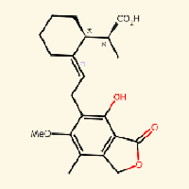 COc1c(C)c2c(c(O)c1C/C=C1\CCCC[C@H]1[C@H](C)C(=O)O)C(=O)OC2